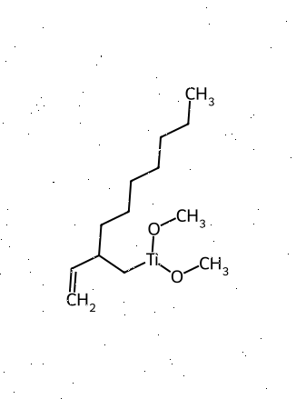 C=CC(CCCCCCC)[CH2][Ti]([O]C)[O]C